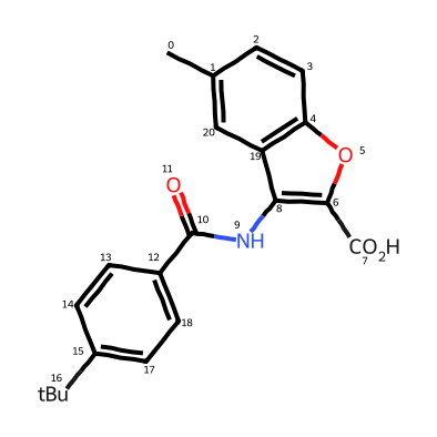 Cc1ccc2oc(C(=O)O)c(NC(=O)c3ccc(C(C)(C)C)cc3)c2c1